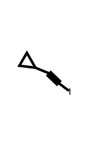 IC#CC1CC1